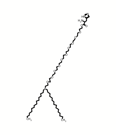 CCCCCCCCCCCCCCCCN(CCCCCCCCCCCCCCCC)CCOCCOCCOCCOCCOCCOCCOCCOCCOCCOCCOC(=O)C(N)Cc1cnc[nH]1